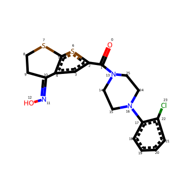 O=C(c1cc2c(s1)SCCC2=NO)N1CCN(c2ccccc2Cl)CC1